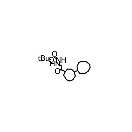 CC(C)(C)OC(=O)NNCC(=O)C1CCCCCC(C2CCCCCCCCC2)CC1